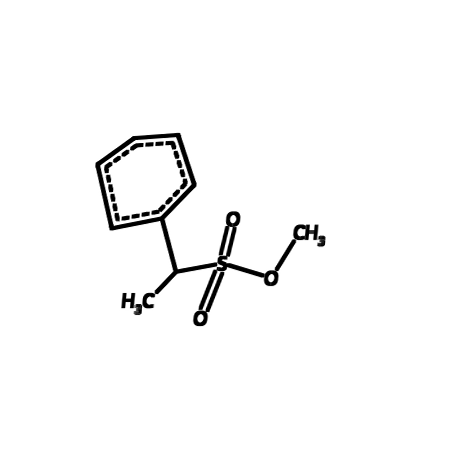 COS(=O)(=O)C(C)c1ccccc1